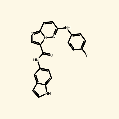 O=C(Nc1ccc2[nH]ccc2c1)c1cnc2ccc(Nc3ccc(F)cc3)nn12